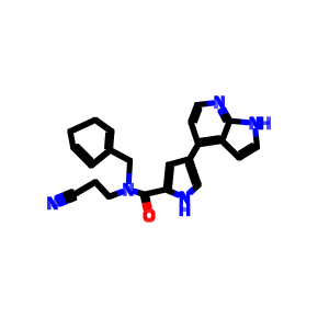 N#CCCN(CC1=CCCC=C1)C(=O)c1cc(-c2ccnc3[nH]ccc23)c[nH]1